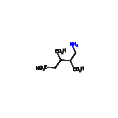 NCC(C(=O)O)C(CC(=O)O)C(=O)O